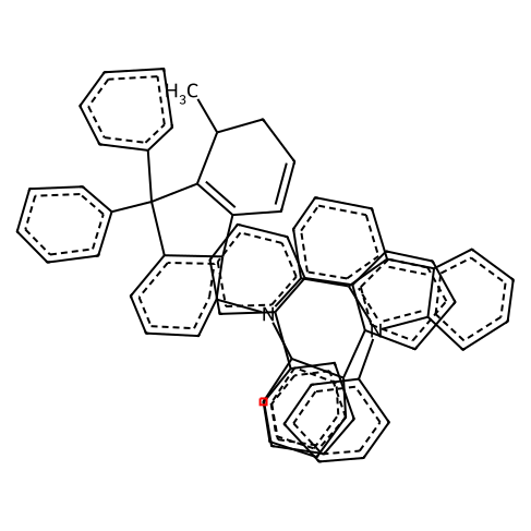 CC1CC=CC2=C1C(c1ccccc1)(c1ccccc1)c1cccc(N(c3ccccc3-c3ccccc3-c3ccccc3-c3ccccc3)c3cccc4c5ccccc5n(-c5ccccc5)c34)c12